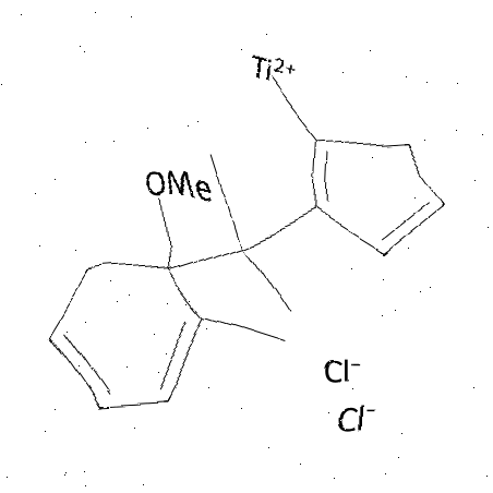 COC1(C(C)(C)C2=[C]([Ti+2])CC=C2)CC=CC=C1C.[Cl-].[Cl-]